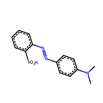 CN(C)c1ccc(N=Nc2ccccc2S(=O)(=O)O)cc1